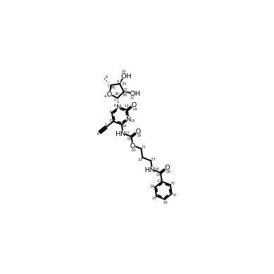 C#Cc1cn([C@@H]2O[C@H](C)[C@@H](O)[C@H]2O)c(=O)nc1NC(=O)OCCCNC(=O)c1ccccc1